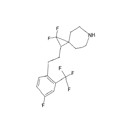 Fc1ccc(CCC2C(F)(F)C23CCNCC3)c(C(F)(F)F)c1